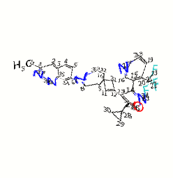 Cc1cc2ccc(N3CCC4(C=C(c5c(-c6cnccc6C(F)(F)F)noc5C5CC5)C4)CC3)cc2nn1